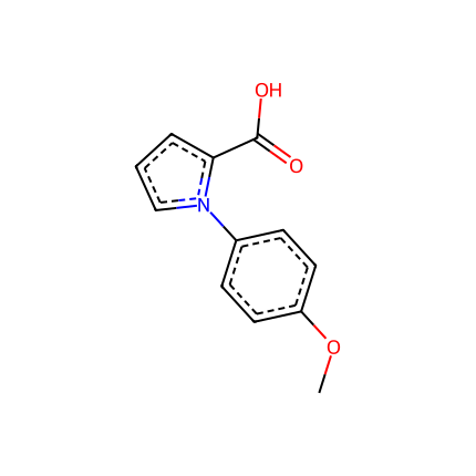 COc1ccc(-n2cccc2C(=O)O)cc1